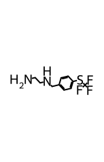 NCCNCc1ccc(SC(F)(F)F)cc1